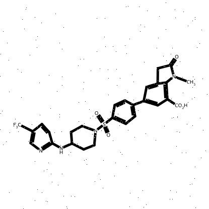 CN1C(=O)Cc2cc(-c3ccc(S(=O)(=O)N4CCC(Nc5ccc(C(F)(F)F)cn5)CC4)cc3)cc(C(=O)O)c21